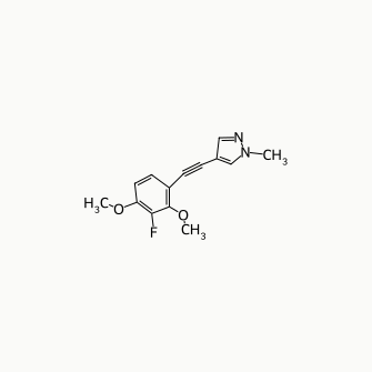 COc1ccc(C#Cc2cnn(C)c2)c(OC)c1F